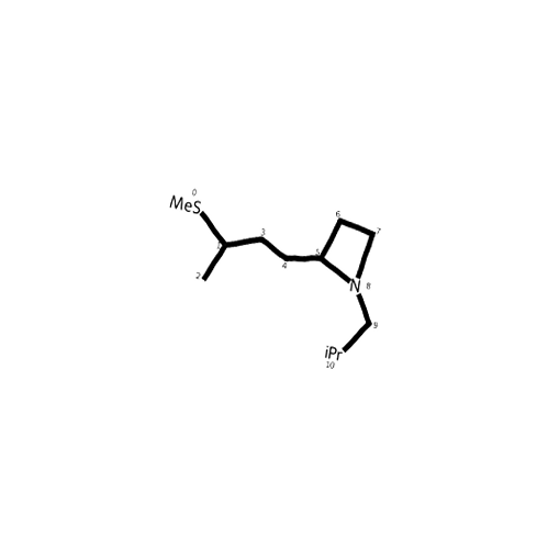 CSC(C)CCC1CCN1CC(C)C